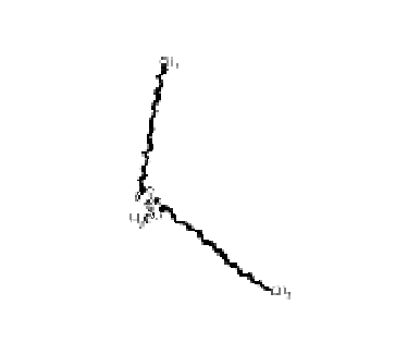 CCCCCCCCC=CCCCCCCCC(=O)O[SiH](OOC)OC(=O)CCCCCCCC=CCCCCCCCC